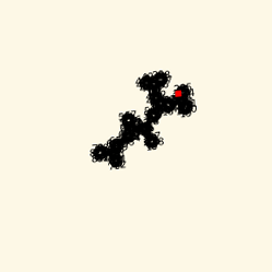 c1ccc(-c2cc(-c3ccc(-n4c5ccc(-n6c7ccccc7c7ccccc76)cc5c5cc(-n6c7ccccc7c7ccccc76)ccc54)cc3)nc(-n3c4ccccc4c4cc(-c5ccc6c(c5)c5ccccc5n6-c5ccccc5)ccc43)n2)cc1